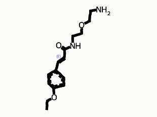 CCOc1ccc(/C=C/C(=O)NCCOCCN)cc1